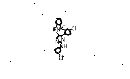 CC1(c2ccccc2F)NCc2cnc(Nc3cccc(Cl)c3)nc2-c2ccc(Cl)cc21